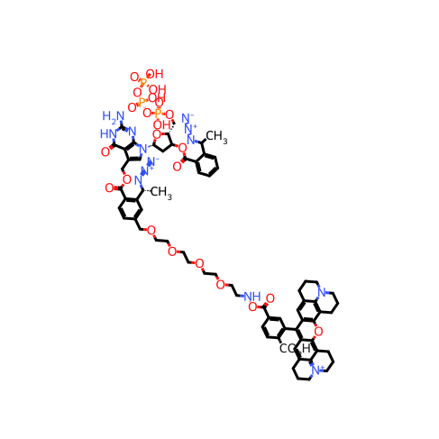 CC(N=[N+]=[N-])c1ccccc1C(=O)OC1C[C@H](n2cc(COC(=O)c3ccc(COCCOCCOCCOCCNOC(=O)c4ccc(C(=O)O)c(C5=c6cc7c8c(c6Oc6c5cc5c9c6CCCN9CCC5)CCC[N+]=8CCC7)c4)cc3[C@@H](C)N=[N+]=[N-])c3c(=O)[nH]c(N)nc32)O[C@@H]1COP(=O)(O)OP(=O)(O)OP(=O)(O)O